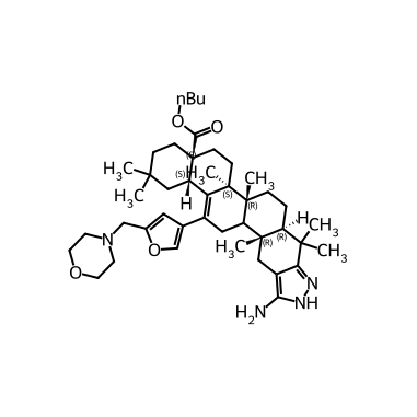 CCCCOC(=O)[C@]12CCC(C)(C)C[C@H]1C1=C(c3coc(CN4CCOCC4)c3)CC3[C@@]4(C)Cc5c(n[nH]c5N)C(C)(C)[C@@H]4CC[C@@]3(C)[C@]1(C)CC2